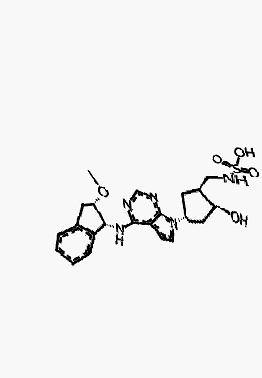 CO[C@H]1Cc2ccccc2[C@H]1Nc1ncnc2c1ccn2[C@@H]1C[C@@H](CNS(=O)(=O)O)[C@@H](O)C1